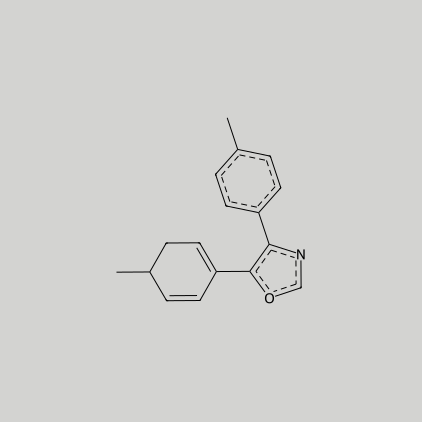 Cc1ccc(-c2ncoc2C2=CCC(C)C=C2)cc1